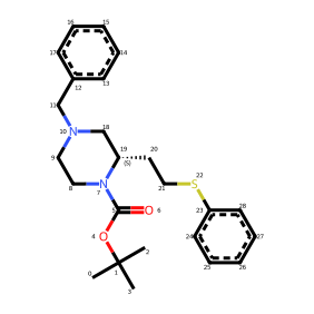 CC(C)(C)OC(=O)N1CCN(Cc2ccccc2)C[C@@H]1CCSc1ccccc1